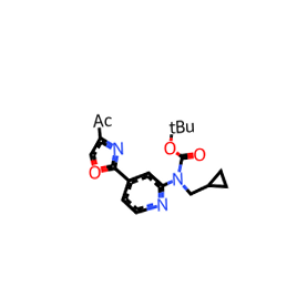 CC(=O)c1coc(-c2ccnc(N(CC3CC3)C(=O)OC(C)(C)C)c2)n1